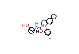 O=C(N[C@@H]1CC2(O)CCC1CC2)N1CCC2=C(C=CC3(CCCC3)C2)[C@@H]1c1ccc(F)cc1